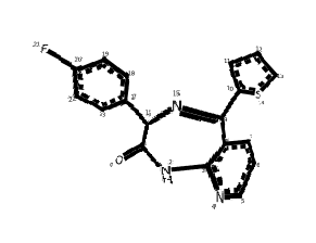 O=C1Nc2ncccc2C(c2cccs2)=NC1c1ccc(F)cc1